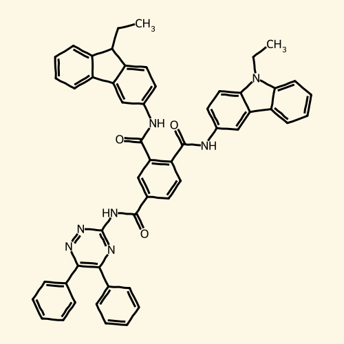 CCC1c2ccccc2-c2cc(NC(=O)c3cc(C(=O)Nc4nnc(-c5ccccc5)c(-c5ccccc5)n4)ccc3C(=O)Nc3ccc4c(c3)c3ccccc3n4CC)ccc21